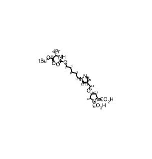 CC(C)[C@H](NC(=O)OCCCCCn1cc(CO[C@@H]2C[C@@H](C(=O)O)N(C(=O)O)C2)nn1)C(=O)OC(C)(C)C